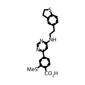 CSc1cc(-c2cc(NCCc3ccc4c(c3)CCS4)ncn2)ccc1C(=O)O